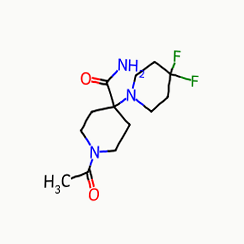 CC(=O)N1CCC(C(N)=O)(N2CCC(F)(F)CC2)CC1